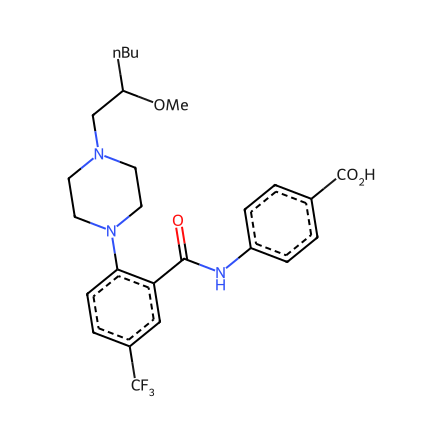 CCCCC(CN1CCN(c2ccc(C(F)(F)F)cc2C(=O)Nc2ccc(C(=O)O)cc2)CC1)OC